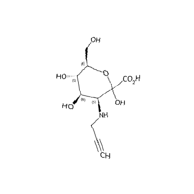 C#CCN[C@H]1[C@@H](O)[C@H](O)[C@@H](CO)OC1(O)C(=O)O